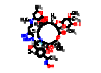 CC[C@H]1OC(=O)[C@H](C)[C@@H](O[C@H]2C[C@@](C)(OC)[C@@H](O)[C@H](C)O2)[C@H](C)[C@@H](O[C@@H]2O[C@H](C)C[C@H](N(C)CCC3=CN([C@H](CF)[C@H](OC)c4ccc(/C(C)=N/O)cc4)NN3)[C@H]2O)[C@](C)(O)C[C@@H](C)CN(C)[C@H](C)[C@@H](O)[C@]1(C)O